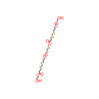 O=C(CCSCSCCCOOCSCSCOC(=O)CCSCSCCCOOCCO)OCCO